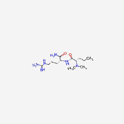 CCC[C@@H](C(=O)N[C@H](CCCNC(=N)N)C(N)=O)N(C)C